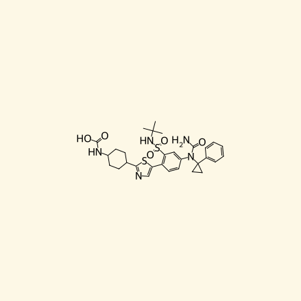 CC(C)(C)NS(=O)(=O)c1cc(N(C(N)=O)C2(c3ccccc3)CC2)ccc1-c1cnc(C2CCC(NC(=O)O)CC2)s1